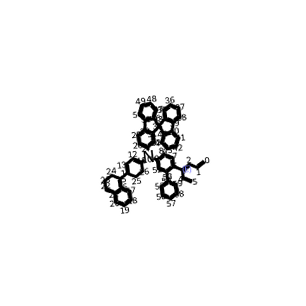 C=C/C=C(\C=C)c1ccc(N(C2=CC=C(C3=c4ccccc4=CCC3)CC2)c2ccc3c(c2)C2(c4ccccc4-c4ccccc42)c2ccccc2-3)cc1-c1ccccc1